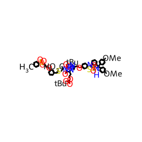 COc1ccc(C(NS(=O)(=O)c2nc3ccc(OCc4cn(C(CCOC(=O)OC(C)(C)C)C(=O)N(C(=O)OC(C)(C)C)C(CSCc5cccc(OCCOS(=O)(=O)c6ccc(C)cc6)c5)C(=O)O)nn4)cc3s2)(c2ccccc2)c2ccc(OC)cc2)cc1